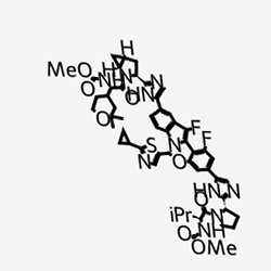 COC(=O)NC(C(=O)N1[C@@H]2C[C@@H]2C[C@H]1c1ncc(-c2ccc3c(c2)c(F)c2n3C(c3cnc(C4CC4)s3)Oc3cc(-c4cnc([C@@H]5CCCN5C(=O)[C@@H](NC(=O)OC)C(C)C)[nH]4)cc(F)c3-2)[nH]1)C1CCOC(C)(C)C1